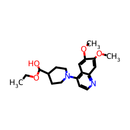 CCOC(O)C1CCN(c2ccnc3cc(OC)c(OC)cc23)CC1